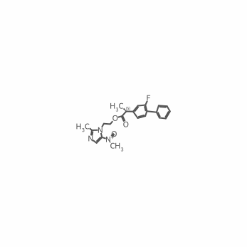 Cc1ncc([N+](C)=O)n1CCOC(=O)[C@@H](C)c1ccc(-c2ccccc2)c(F)c1